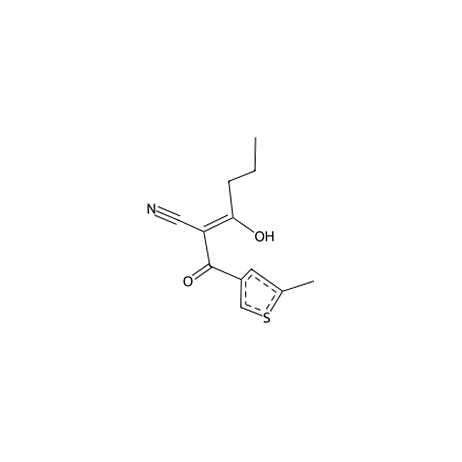 CCCC(O)=C(C#N)C(=O)c1csc(C)c1